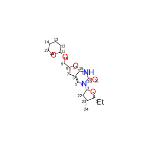 CC[C@H]1O[C@@H](N2C=C3C=C(COC4CCCCO4)OC3NC2=O)C[C@H]1C